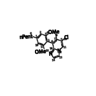 CCCCCc1cc(OC)c(-c2c(C)c(Cl)cn3ccnc23)c(OC)c1